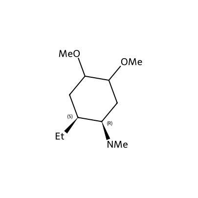 CC[C@H]1CC(OC)C(OC)C[C@H]1NC